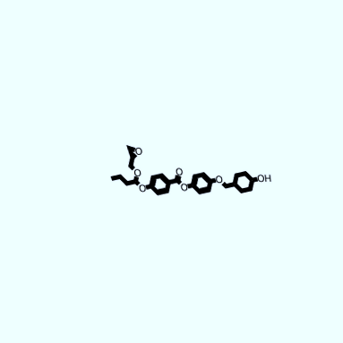 CCCC(OCC1CO1)Oc1ccc(C(=O)Oc2ccc(OCC3CCC(O)CC3)cc2)cc1